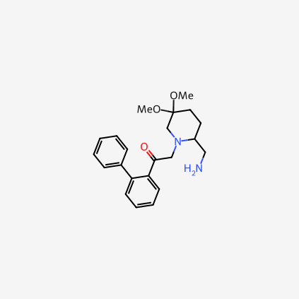 COC1(OC)CCC(CN)N(CC(=O)c2ccccc2-c2ccccc2)C1